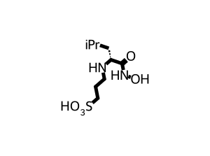 CC(C)C[C@@H](NCCCS(=O)(=O)O)C(=O)NO